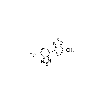 Cc1ccc(-c2ccc(C)c3nsnc23)c2nsnc12